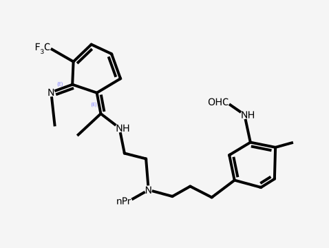 CCCN(CCCc1ccc(C)c(NC=O)c1)CCN/C(C)=C1\C=CC=C(C(F)(F)F)\C1=N\C